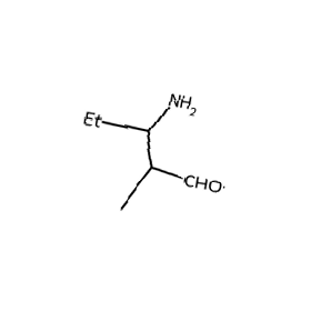 CCC(N)C(C)[C]=O